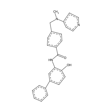 CN(Cc1ccc(C(=O)Nc2cc(-c3ccccc3)ccc2O)cc1)c1ccncc1